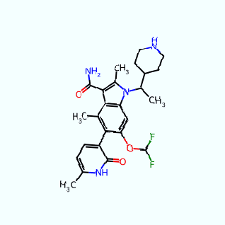 Cc1ccc(-c2c(OC(F)F)cc3c(c2C)c(C(N)=O)c(C)n3C(C)C2CCNCC2)c(=O)[nH]1